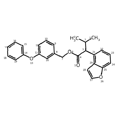 CC(C)C(C(=O)OCc1cccc(Oc2ccccc2)c1)c1cccc2occc12